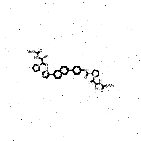 COC(=O)N[C@H](C(=O)N1CCC[C@H]1C(=O)Nc1ccc(-c2ccc3cc(-c4cnc([C@@H]5CCCN5C(=O)[C@@H](NC(=O)OC)C(C)C)[nH]4)ccc3c2)cc1)C(C)C